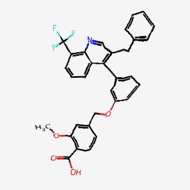 COc1cc(COc2cccc(-c3c(Cc4ccccc4)cnc4c(C(F)(F)F)cccc34)c2)ccc1C(=O)O